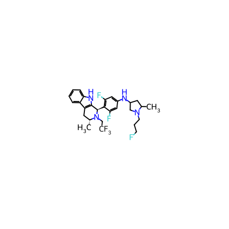 CC1CC(Nc2cc(F)c([C@@H]3c4[nH]c5ccccc5c4C[C@@H](C)N3CC(F)(F)F)c(F)c2)CN1CCCF